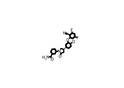 N#Cc1c(F)cc(F)cc1Oc1cc([C@H]2CC(=O)N(c3cccc(C(N)=O)c3)C2)ccc1Cl